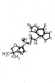 CC1(C)COc2c([SH](=O)=NC(=O)Nc3c4c(c(F)c5c3C[C@@H](F)C5)CCC4)cnn21